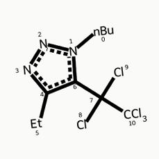 CCCCn1nnc(CC)c1C(Cl)(Cl)C(Cl)(Cl)Cl